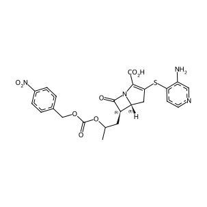 CC(C[C@H]1C(=O)N2C(C(=O)O)=C(Sc3ccncc3N)C[C@H]12)OC(=O)OCc1ccc([N+](=O)[O-])cc1